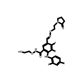 O=C(NOCCO)c1cc(C=NOCCN2CCCC2=O)c(F)c(F)c1Nc1ccc(I)cc1F